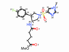 COC(=O)CCCC(=O)N[C@H]1CN(S(=O)(=O)c2cn(C)cn2)C[C@@H]1c1ccc(F)cc1